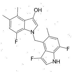 Cc1cc(F)c2[nH]cc(F)c2c1Cn1cc(O)c2c(C)c(C)cc(F)c21